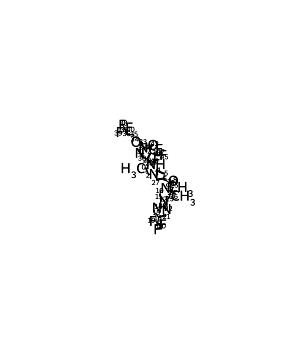 CC(Cn1ccc(C(=O)N2CCN(c3ncc(C(F)(F)F)cn3)CC2(C)C)c1)Nc1cnn(COCCC(F)(F)F)c(=O)c1C(F)(F)F